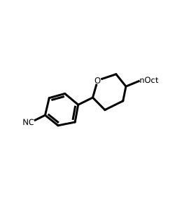 CCCCCCCCC1CCC(c2ccc(C#N)cc2)OC1